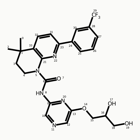 CC1(C)CCN(C(=O)Nc2cncc(OCC(O)CO)n2)c2nc(-c3cccc(C(F)(F)F)c3)ccc21